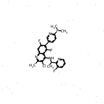 Cc1nc2cc(F)c(-c3ccc(P(C)C)nc3)c(F)c2c(NC(C)c2ncccc2F)c1Cl